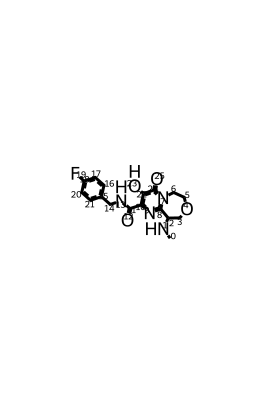 CNC1COCCn2c1nc(C(=O)NCc1ccc(F)cc1)c(O)c2=O